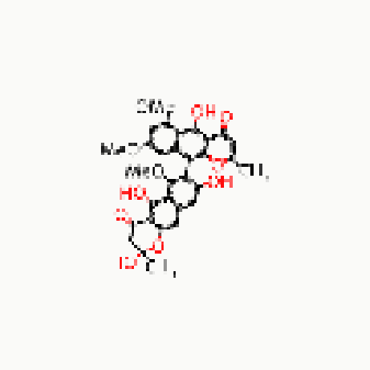 COc1cc(OC)c2c(O)c3c(=O)cc(C)oc3c(-c3c(O)cc4cc5c(c(O)c4c3OC)C(=O)CC(C)(O)O5)c2c1